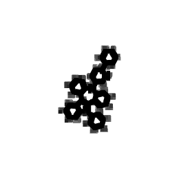 c1ccc(-c2ccc(N3c4ccccc4-c4c(n(-c5ccccc5)c5ccccc45)-c4ccccc43)cn2)cc1